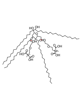 CCCCCCCCCCCCCCCCCCC(O)C(O)(CCCCCCCCCCCCCCCCCC)C(CCOCCOCC[N+](C)(C(=O)O)C(=O)O)OC(CCOCCOCC[N+](C)(C(=O)O)C(=O)O)C(O)(CCCCCCCCCCCCCCCCCC)C(O)CCCCCCCCCCCCCCCCCC